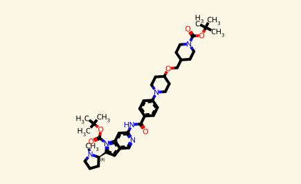 CN1CCC[C@@H]1c1cc2cnc(NC(=O)c3ccc(N4CCC(OCC5CCN(C(=O)OC(C)(C)C)CC5)CC4)cc3)cc2n1C(=O)OC(C)(C)C